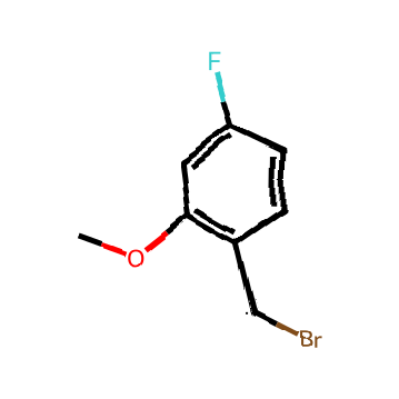 COc1cc(F)ccc1[CH]Br